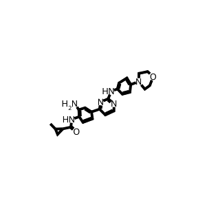 CC1CC1C(=O)Nc1ccc(-c2ccnc(Nc3ccc(N4CCOCC4)cc3)n2)cc1N